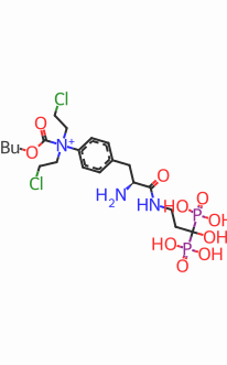 CC(C)(C)OC(=O)[N+](CCCl)(CCCl)c1ccc(C[C@H](N)C(=O)NCCC(O)(P(=O)(O)O)P(=O)(O)O)cc1